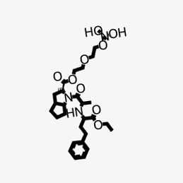 CCOC(=O)C(CCc1ccccc1)NC(C)C(=O)N1C2CCCC2C[C@H]1C(=O)OCCOCCON(O)O